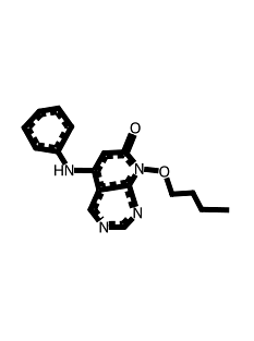 CCCCOn1c(=O)cc(Nc2ccccc2)c2cncnc21